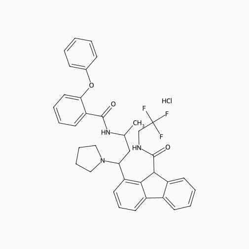 CC(CC(c1cccc2c1C(C(=O)NCC(F)(F)F)c1ccccc1-2)N1CCCC1)NC(=O)c1ccccc1Oc1ccccc1.Cl